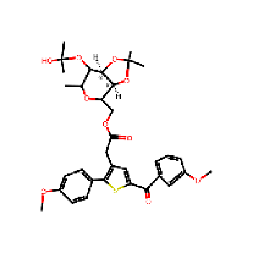 COc1ccc(-c2sc(C(=O)c3cccc(OC)c3)cc2CC(=O)OCC2OC(C)C(OC(C)(C)O)[C@H]3OC(C)(C)O[C@@H]23)cc1